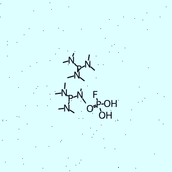 CN(C)P(N(C)C)N(C)C.CN(C)P(N(C)C)N(C)C.O=P(O)(O)F